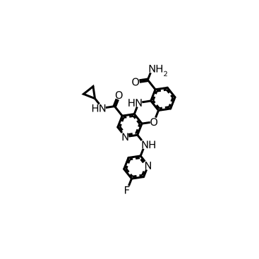 NC(=O)c1cccc2c1Nc1c(C(=O)NC3CC3)cnc(Nc3ccc(F)cn3)c1O2